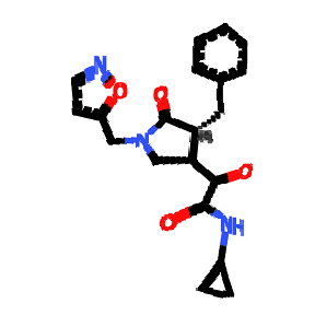 O=C(NC1CC1)C(=O)C1CN(Cc2ccno2)C(=O)[C@@H]1Cc1ccccc1